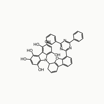 Oc1cc(O)c2c(c1O)c1c(O)c(O)cc(O)c1n2C1CC=Cc2c1oc1c(-c3nc(-c4ccccc4)nc(-c4ccccc4)n3)cccc21